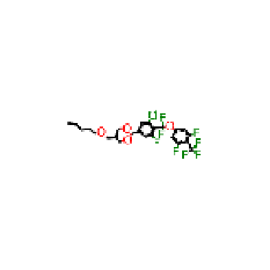 CCCCCOCC1COC(c2cc(F)c(C(F)(F)Oc3cc(F)c(C(F)(F)F)c(F)c3)c(Cl)c2)OC1